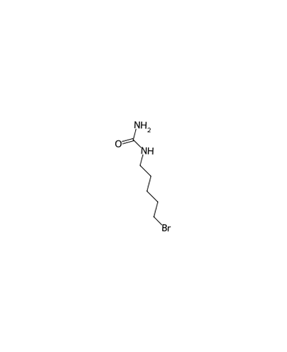 NC(=O)NCCCCCBr